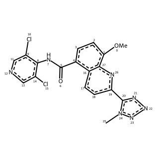 COc1ccc(C(=O)Nc2c(Cl)cncc2Cl)c2ccc(-c3nnnn3C)nc12